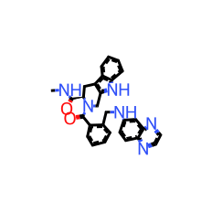 CNC(=O)[C@H]1Cc2c([nH]c3ccccc23)CN1C(=O)c1ccccc1CNc1ccc2nccnc2c1